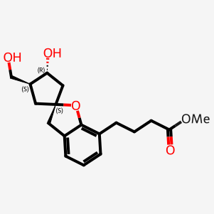 COC(=O)CCCc1cccc2c1O[C@]1(C2)C[C@@H](CO)[C@H](O)C1